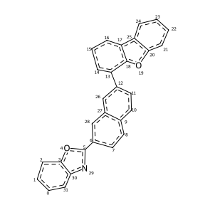 c1ccc2oc(-c3ccc4ccc(-c5cccc6c5oc5ccccc56)cc4c3)nc2c1